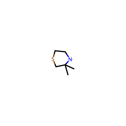 CC1(C)CSCC[N]1